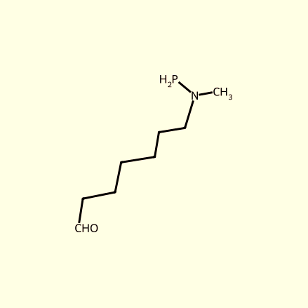 CN(P)CCCCCCC=O